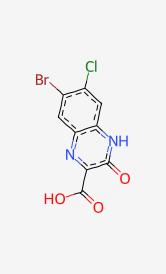 O=C(O)c1nc2cc(Br)c(Cl)cc2[nH]c1=O